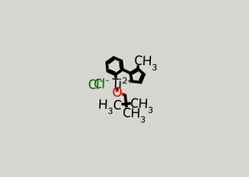 CC1=C(c2cccc[c]2[Ti+2][O]CC(C)(C)C)CC=C1.[Cl-].[Cl-]